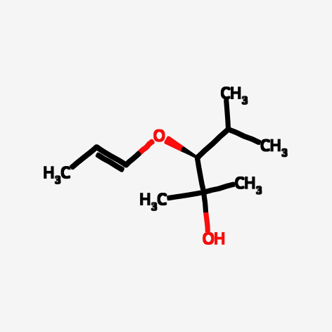 C/C=C/O[C@@H](C(C)C)C(C)(C)O